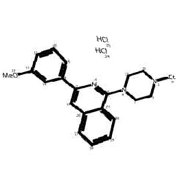 CCN1CCN(c2nc(-c3cccc(OC)c3)cc3ccccc23)CC1.Cl.Cl